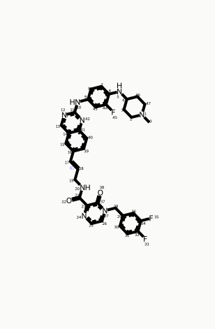 CN1CCC(Nc2ccc(Nc3ncc4cc(/C=C/CNC(=O)c5nccn(Cc6ccc(F)c(F)c6)c5=O)ccc4n3)cc2F)CC1